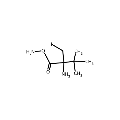 CC(C)(C)C(N)(CI)C(=O)ON